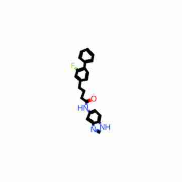 O=C(CCCc1ccc(-c2ccccc2)c(F)c1)Nc1ccc2[nH]cnc2c1